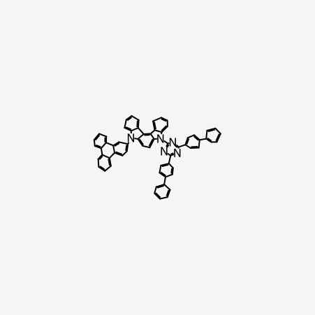 c1ccc(-c2ccc(-c3nc(-c4ccc(-c5ccccc5)cc4)nc(-n4c5ccccc5c5c6c7ccccc7n(-c7ccc8c9ccccc9c9ccccc9c8c7)c6ccc54)n3)cc2)cc1